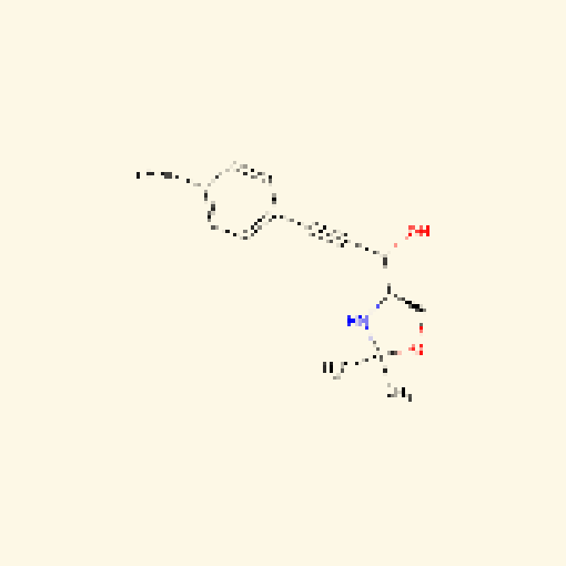 CCCCCCc1ccc(C#C[C@H](O)[C@H]2COC(C)(C)N2)cc1